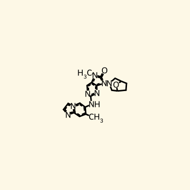 Cc1cc2nccn2cc1Nc1ncc2c(n1)n(N1CC3CCC(C1)O3)c(=O)n2C